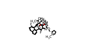 CC(C)[Si](C#Cc1c(F)ccc2cccc(-c3ncc4c(O)nc(OC[C@@H]5CCCN5C)nc4c3F)c12)(C(C)C)C(C)C